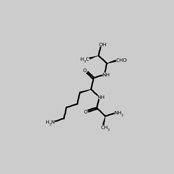 C[C@H](N)C(=O)N[C@@H](CCCCN)C(=O)N[C@H]([C]=O)[C@@H](C)O